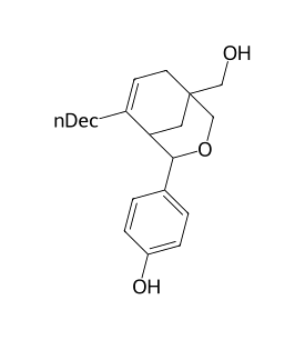 CCCCCCCCCCC1=CCC2(CO)COC(c3ccc(O)cc3)C1C2